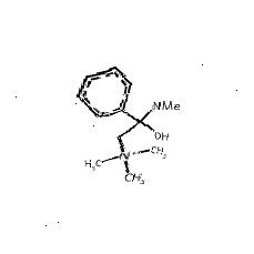 CNC(O)(C[N+](C)(C)C)c1ccccc1